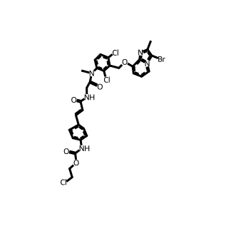 Cc1nc2c(OCc3c(Cl)ccc(N(C)C(=O)CNC(=O)C=Cc4ccc(NC(=O)OCCCl)cc4)c3Cl)cccn2c1Br